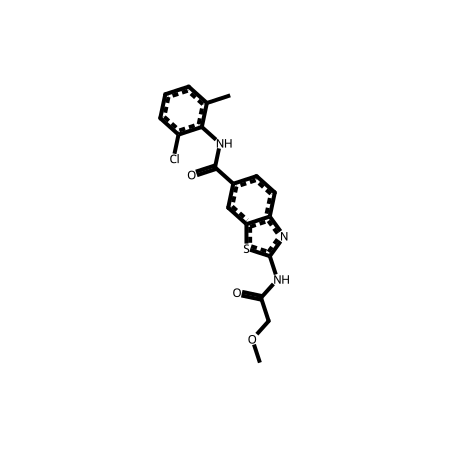 COCC(=O)Nc1nc2ccc(C(=O)Nc3c(C)cccc3Cl)cc2s1